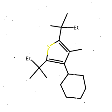 CCC(C)(C)c1sc(C(C)(C)CC)c(C2CCCCC2)c1C